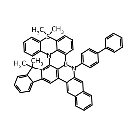 CC1(C)c2ccccc2-c2cc3c4c(c21)N1c2ccccc2S(C)(C)c2cccc(c21)B4N(c1ccc(-c2ccccc2)cc1)c1cc2ccccc2cc1-3